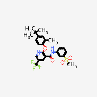 Cc1cc(C(C)(C)C)ccc1Oc1ncc(C(F)(F)F)cc1C(=O)Nc1cccc(S(C)(=O)=O)c1